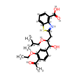 CCOc1cc(C(O)C(Cc2nc3c(C(=O)O)cccc3s2)OCC(C)C)ccc1C(C)=O